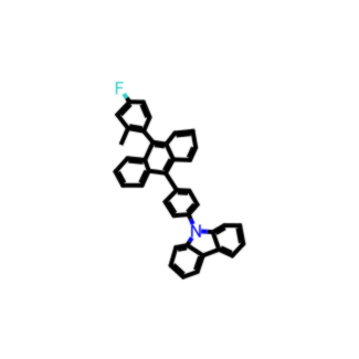 Cc1cc(F)ccc1-c1c2ccccc2c(-c2ccc(-n3c4ccccc4c4ccccc43)cc2)c2ccccc12